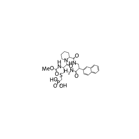 COC(=O)NC(CSCP(=O)(O)O)C(=O)N1CCCCC1C(=O)NCC(C(N)=O)c1ccc2ccccc2c1